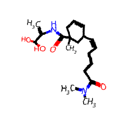 CC(NC(=O)C1(C)CC=CC(/C=C\CCCC(=O)N(C)C)C1)C(O)O